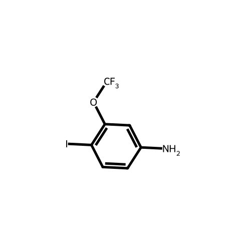 Nc1ccc(I)c(OC(F)(F)F)c1